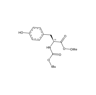 COOC(=O)[C@H](Cc1ccc(O)cc1)NC(=O)OC(C)(C)C